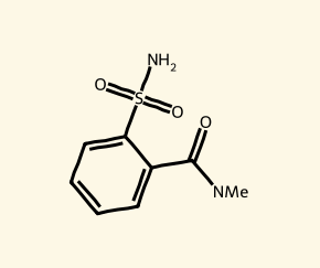 CNC(=O)c1ccccc1S(N)(=O)=O